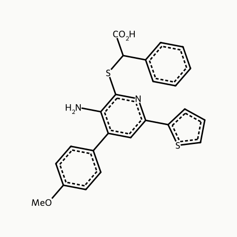 COc1ccc(-c2cc(-c3cccs3)nc(SC(C(=O)O)c3ccccc3)c2N)cc1